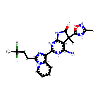 Cc1noc(C2(C)C(=O)Nc3nc(-c4nc(CCC(F)(F)C(F)(F)F)n5ccccc45)nc(N)c32)n1